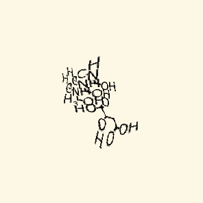 CNCO.CNCO.CNCO.O=C(O)CC(O)C(=O)O